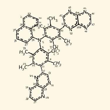 Cc1c(C)c(N(c2c(C)c(C)c(-c3cnc4nccnc4n3)c(C)c2C)c2cccc3ccccc23)c(C)c(C)c1-c1cnc2nccnc2n1